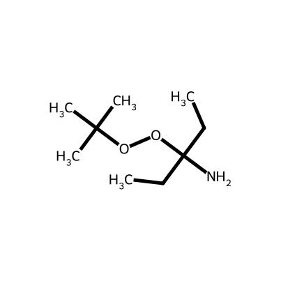 CCC(N)(CC)OOC(C)(C)C